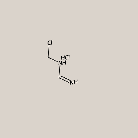 Cl.N=CNCCl